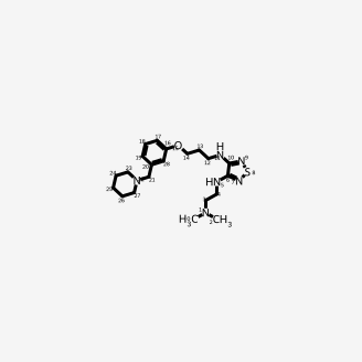 CN(C)CCNc1nsnc1NCCCOc1cccc(CN2CCCCC2)c1